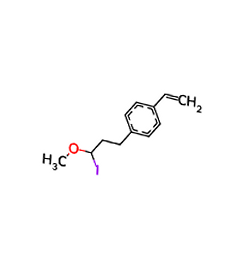 C=Cc1ccc(CCC(I)OC)cc1